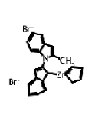 Cc1cc2ccccc2n1C1=Cc2ccccc2[CH]1[Zr+2][C]1=CC=CC1.[Br-].[Br-]